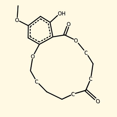 COc1cc(O)c2c(c1)OCCCCCC(=O)CCCOC2=O